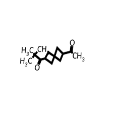 CC(=O)C1CC2(C1)CC(C(=O)C(C)(C)C)C2